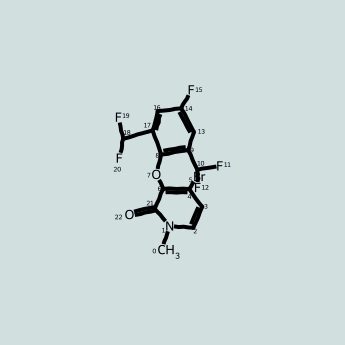 Cn1ccc(Br)c(Oc2c(C(F)F)cc(F)cc2C(F)F)c1=O